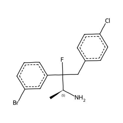 C[C@H](N)C(F)(Cc1ccc(Cl)cc1)c1cccc(Br)c1